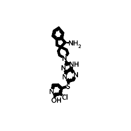 N[C@@H]1c2ccccc2CC12CCN(c1nc3nc(Sc4ccnc(O)c4Cl)cnc3[nH]1)CC2